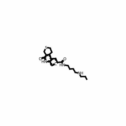 CCCNCCCCNC(=O)c1ccc2[nH]c(=O)c3c(c2c1)CCSC3